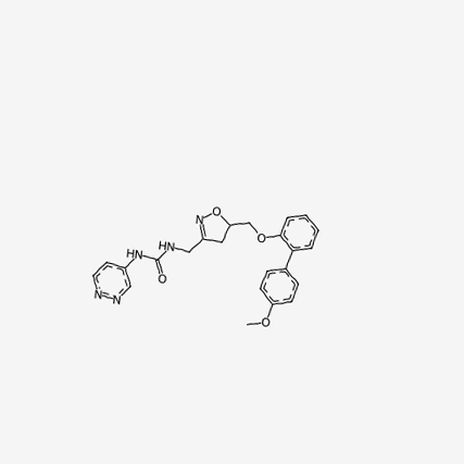 COc1ccc(-c2ccccc2OCC2CC(CNC(=O)Nc3ccnnc3)=NO2)cc1